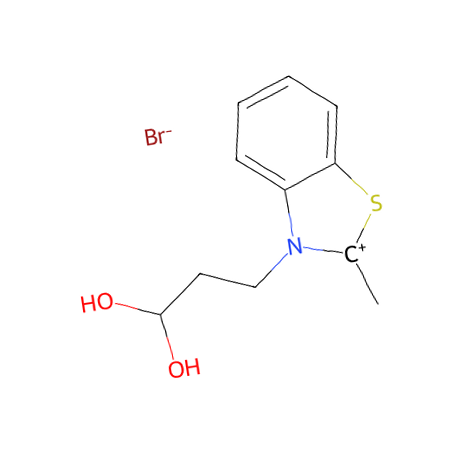 C[c+]1sc2ccccc2n1CCC(O)O.[Br-]